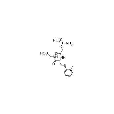 Cc1ccccc1SCC(NC(=O)CCC(N)C(=O)O)C(=O)NCC(=O)O